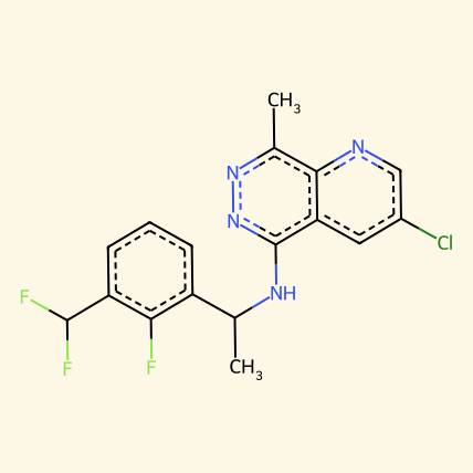 Cc1nnc(NC(C)c2cccc(C(F)F)c2F)c2cc(Cl)cnc12